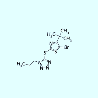 CCCn1nnnc1Sc1nc(C(C)(C)C)c(Br)s1